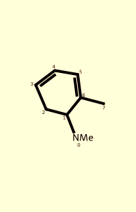 CNC1CC=CC=C1C